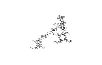 CC(C)(C)[Si](F)(c1ccc(C(=O)NCC(NC(=O)CCC(C(=O)O)N2CCN(CC(=O)O)CCN(CC(=O)O)CCN(CC(=O)O)CC2)C(=O)NC(CCCCNC(=O)CCCCCCC(=O)NCCCC[C@H](NC(=O)N[C@@H](CCC(=O)O)C(=O)O)C(=O)O)C(=O)O)cc1)C(C)(C)C